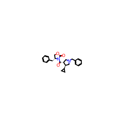 O=C1OC[C@@H](Cc2ccccc2)N1C(=O)[C@@H]1CN(Cc2ccccc2)C[C@H]1C1CC1